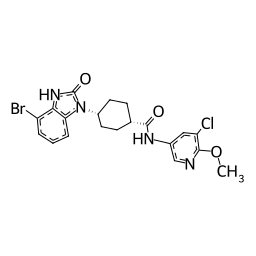 COc1ncc(NC(=O)[C@H]2CC[C@@H](n3c(=O)[nH]c4c(Br)cccc43)CC2)cc1Cl